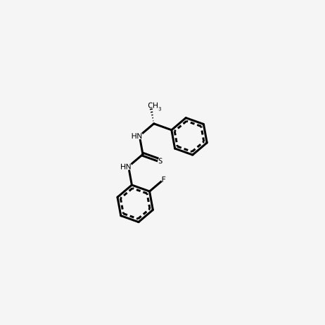 C[C@@H](NC(=S)Nc1ccccc1F)c1ccccc1